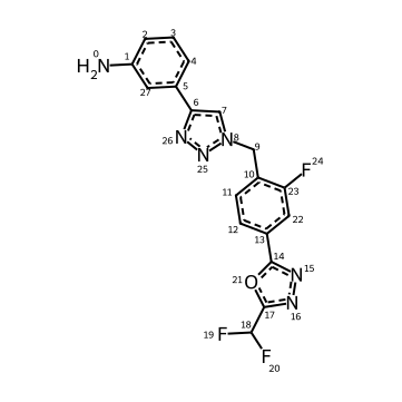 Nc1cccc(-c2cn(Cc3ccc(-c4nnc(C(F)F)o4)cc3F)nn2)c1